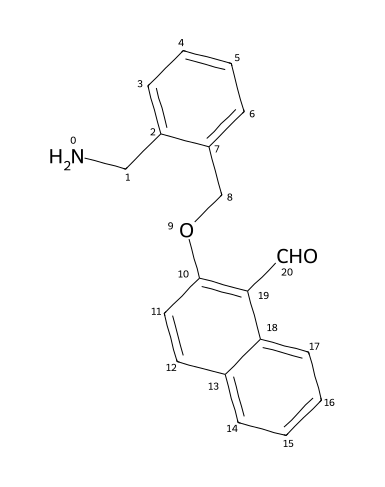 NCc1ccccc1COc1ccc2ccccc2c1C=O